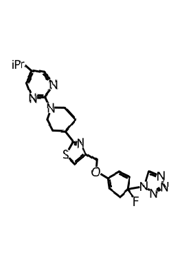 CC(C)c1cnc(N2CCC(c3nc(COC4=CCC(F)(n5cnnn5)C=C4)cs3)CC2)nc1